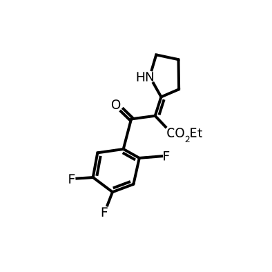 CCOC(=O)/C(C(=O)c1cc(F)c(F)cc1F)=C1\CCCN1